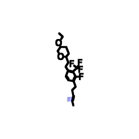 C/C=C/CCc1ccc(CCC2CCC(OCC)CO2)c(C(F)(F)F)c1F